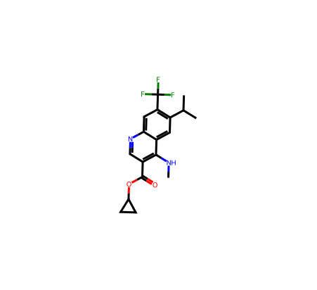 CNc1c(C(=O)OC2CC2)cnc2cc(C(F)(F)F)c(C(C)C)cc12